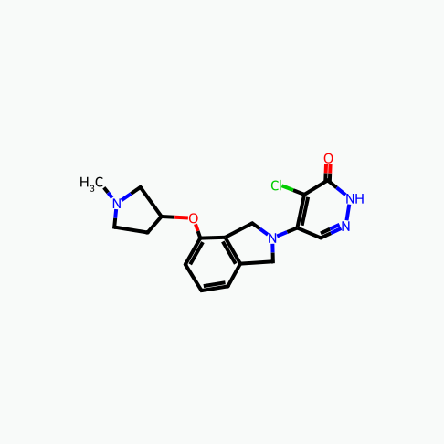 CN1CCC(Oc2cccc3c2CN(c2cn[nH]c(=O)c2Cl)C3)C1